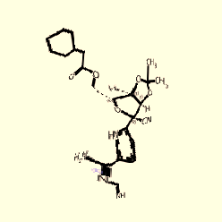 CC1(C)O[C@H]2[C@@H](O1)[C@](C#N)(c1ccc(/C(N)=N\C=N)[nH]1)O[C@@H]2COC(=O)CC1CCCCC1